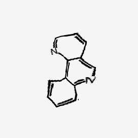 [c]1cccc2c1ncc1cccnc12